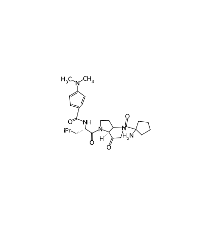 CC(C)C[C@H](NC(=O)c1ccc(N(C)C)cc1)C(=O)N1CCC2[C@H]1C(=O)CN2C(=O)C1(N)CCCC1